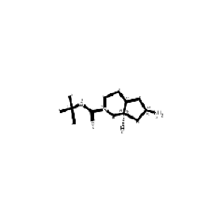 CC(C)(C)OC(=O)N1CCC2C[C@@H](N)C[C@H]2C1